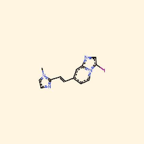 Cn1ccnc1C=Cc1ccn2c(I)cnc2c1